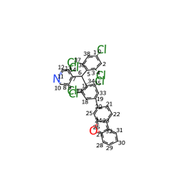 Clc1cc(Cl)c(C(c2c(Cl)cncc2Cl)c2c(Cl)cc(-c3ccc4c(c3)oc3ccccc34)cc2Cl)c(Cl)c1